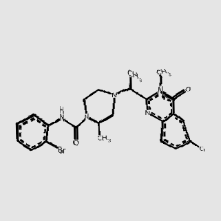 CC(c1nc2ccc(Cl)cc2c(=O)n1C)N1CCN(C(=O)Nc2ccccc2Br)C(C)C1